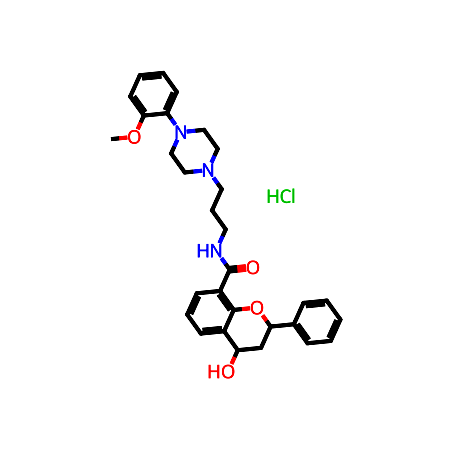 COc1ccccc1N1CCN(CCCNC(=O)c2cccc3c2OC(c2ccccc2)CC3O)CC1.Cl